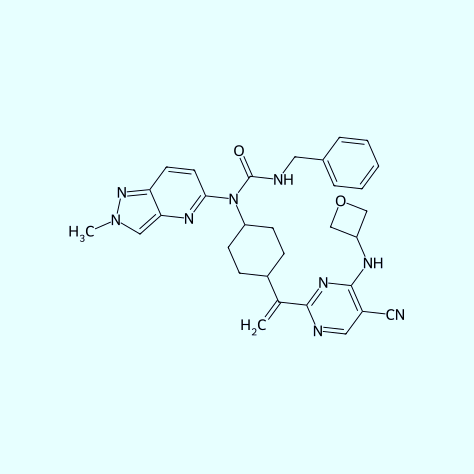 C=C(c1ncc(C#N)c(NC2COC2)n1)C1CCC(N(C(=O)NCc2ccccc2)c2ccc3nn(C)cc3n2)CC1